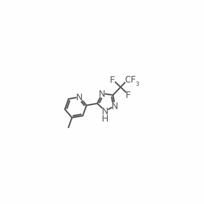 Cc1ccnc(-c2nc(C(F)(F)C(F)(F)F)n[nH]2)c1